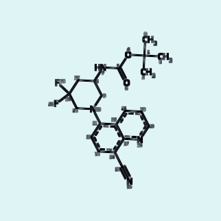 CC(C)(C)OC(=O)NC1CN(c2ccc(C#N)c3ncccc23)CC(F)(F)C1